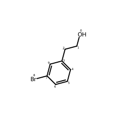 OC[CH]c1cccc(Br)c1